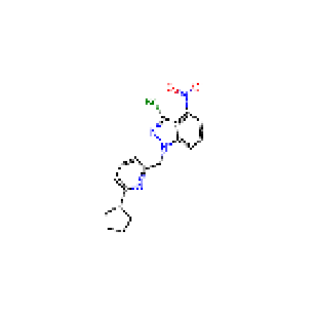 O=[N+]([O-])c1cccc2c1c(Br)nn2Cc1cccc(C2CCCC2)n1